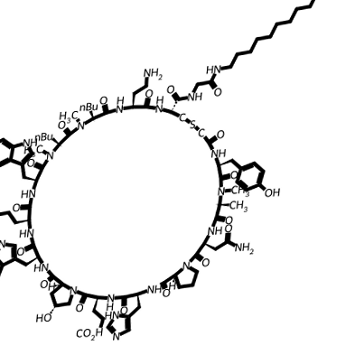 CCCC[C@H]1C(=O)N(C)[C@@H](CCCC)C(=O)N[C@@H](CCN)C(=O)N[C@H](C(=O)NCC(=O)NCCCCCCCCCCC(=O)O)CSCC(=O)N[C@@H](Cc2ccc(O)cc2)C(=O)N(C)[C@@H](C)C(=O)N[C@@H](CC(N)=O)C(=O)N2CCC[C@H]2C(=O)N[C@@H](Cc2cnc[nH]2)C(=O)N[C@@H](CCC(=O)O)C(=O)N2C[C@H](O)C[C@H]2C(=O)N[C@@H](Cc2c[nH]c3ccccc23)C(=O)N[C@@H](CCN)C(=O)N[C@@H](Cc2c[nH]c3ccccc23)C(=O)N1C